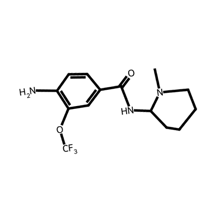 CN1CCCCC1NC(=O)c1ccc(N)c(OC(F)(F)F)c1